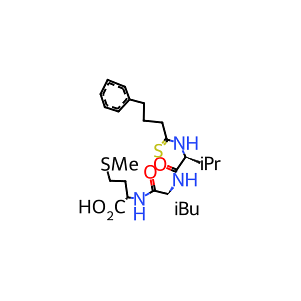 CC[C@H](C)[C@H](NC(=O)[C@@H](NC(=S)CCCc1ccccc1)C(C)C)C(=O)N[C@@H](CCSC)C(=O)O